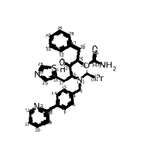 CC(C)CN(Cc1ccc(-c2ccccn2)cc1)C(Cc1cncs1)C(O)C(Cc1ccccc1)OC(N)=O